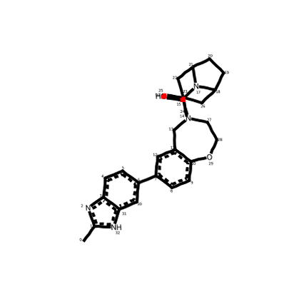 Cc1nc2ccc(-c3ccc4c(c3)CN(C(=O)N3C5CCC3CC(C)(O)C5)CCO4)cc2[nH]1